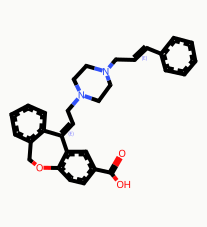 O=C(O)c1ccc2c(c1)/C(=C/CN1CCN(C/C=C/c3ccccc3)CC1)c1ccccc1CO2